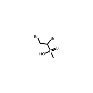 CP(=O)(O)C(Br)CBr